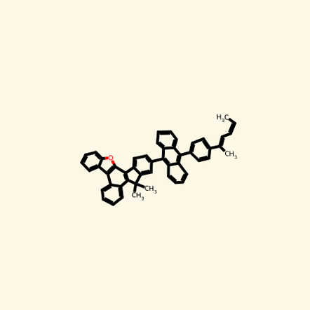 C/C=C\C=C(/C)c1ccc(-c2c3ccccc3c(-c3ccc4c(c3)C(C)(C)c3c-4c4oc5ccccc5c4c4ccccc34)c3ccccc23)cc1